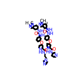 Cn1ncc2cc(NC(=O)Nc3cccc(Oc4ccnc(C(=O)NCCCn5ccnc5)c4)c3)ccc21.Cn1ncc2cc(NC(=O)Nc3cccc(Oc4ccnc(C(=O)Nc5cccnc5)c4)c3)ccc21